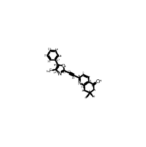 CC1(C)CC(=O)c2ccc(C#Cc3nc(F)c(-c4ccccc4)o3)nc2C1